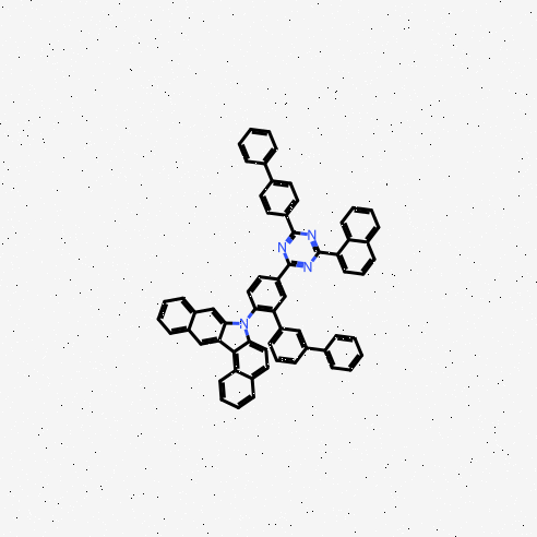 c1ccc(-c2ccc(-c3nc(-c4ccc(-n5c6cc7ccccc7cc6c6c7ccccc7ccc65)c(-c5cccc(-c6ccccc6)c5)c4)nc(-c4cccc5ccccc45)n3)cc2)cc1